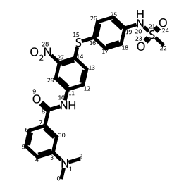 CN(C)c1cccc(C(=O)Nc2ccc(Sc3ccc(NS(C)(=O)=O)cc3)c([N+](=O)[O-])c2)c1